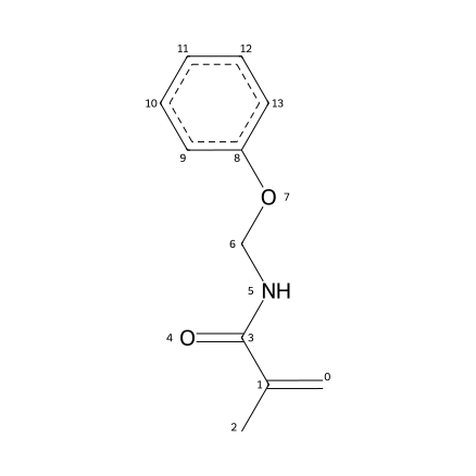 C=C(C)C(=O)NCOc1ccccc1